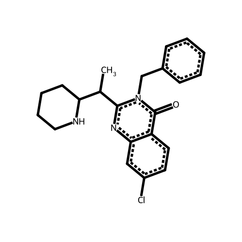 CC(c1nc2cc(Cl)ccc2c(=O)n1Cc1ccccc1)C1CCCCN1